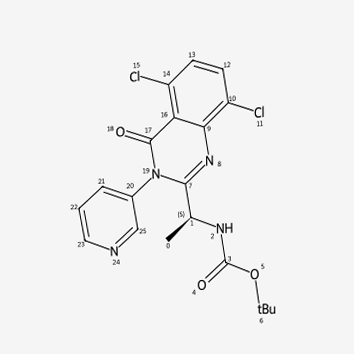 C[C@H](NC(=O)OC(C)(C)C)c1nc2c(Cl)ccc(Cl)c2c(=O)n1-c1cccnc1